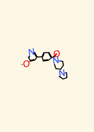 [O]c1cncc(-c2ccc(C(=O)N3CCC(N4CCCC4)CC3)cc2)c1